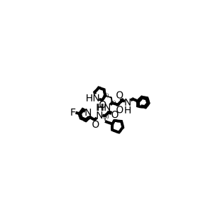 O=C(NCc1ccccc1)C(=O)[C@H](C[C@@H]1CCCNC1=O)NC(=O)[C@H](CC1CCCCC1)NC(=O)c1ccc(F)cn1